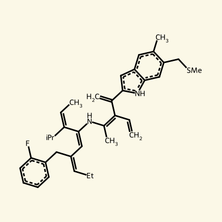 C=C/C(C(=C)c1cc2cc(C)c(CSC)cc2[nH]1)=C(\C)NC(=C/C(=C\CC)Cc1ccccc1F)/C(=C\C)C(C)C